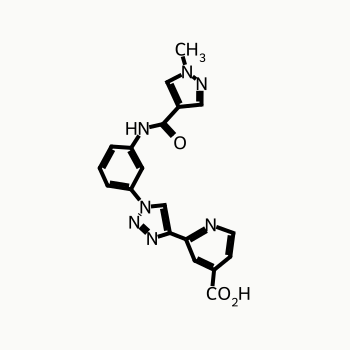 Cn1cc(C(=O)Nc2cccc(-n3cc(-c4cc(C(=O)O)ccn4)nn3)c2)cn1